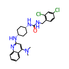 CN(C)c1cc(N[C@H]2CC[C@@H](NC(=O)NCc3ccc(Cl)cc3Cl)CC2)nc2ccccc12